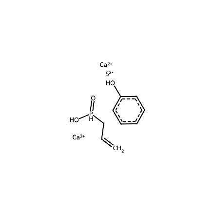 C=CC[PH](=O)O.Oc1ccccc1.[Ca+2].[Ca+2].[S-2]